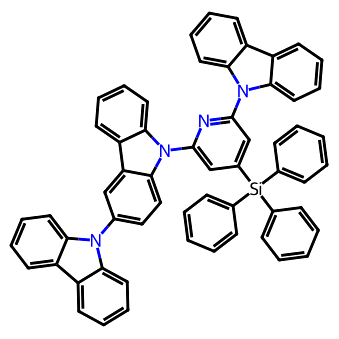 c1ccc([Si](c2ccccc2)(c2ccccc2)c2cc(-n3c4ccccc4c4ccccc43)nc(-n3c4ccccc4c4cc(-n5c6ccccc6c6ccccc65)ccc43)c2)cc1